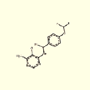 CCC(Nc1ncnc(C)c1Cl)c1ccc(OC(F)F)cc1